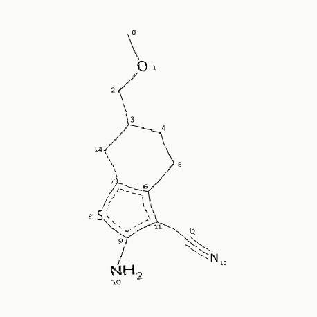 COCC1CCc2c(sc(N)c2C#N)C1